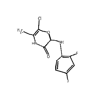 CC1=C(Cl)OC(Nc2ccc(I)cc2F)C(=O)N1